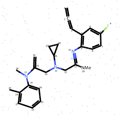 C=C=Cc1cc(F)ccc1/N=C(/CN(CC(=C)N(C)c1ccccc1C)C1CC1)NC